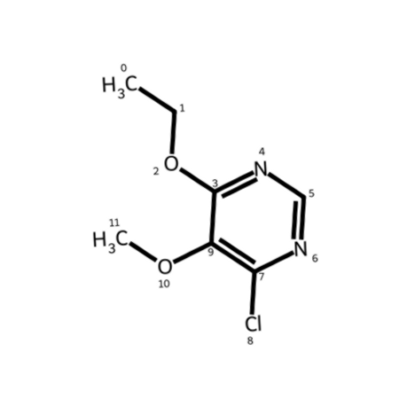 CCOc1ncnc(Cl)c1OC